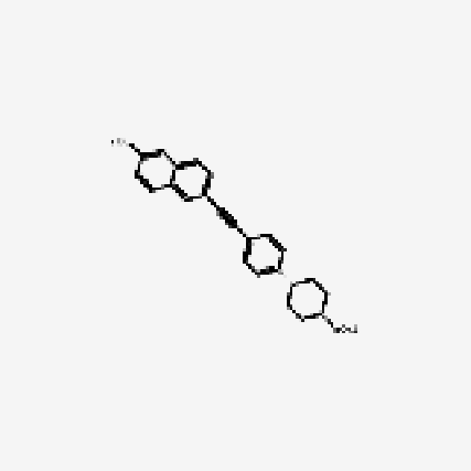 CCCCCCCC[C@H]1CC[C@H](c2ccc(C#Cc3ccc4cc(CCCC)ccc4c3)cc2)CC1